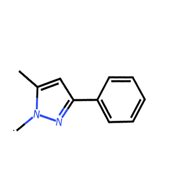 [CH2]n1nc(-c2ccccc2)cc1C